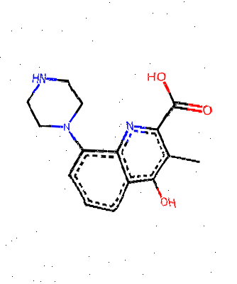 Cc1c(C(=O)O)nc2c(N3CCNCC3)cccc2c1O